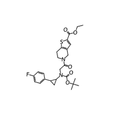 CCOC(=O)c1cc2c(s1)CCN(C(=O)CN(C(=O)OC(C)(C)C)C1CC1c1ccc(F)cc1)C2